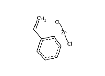 C=Cc1ccccc1.[Cl][Zn][Cl]